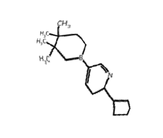 CC1(C)CCB(C2=CCC(C3CCC3)N=C2)CC1(C)C